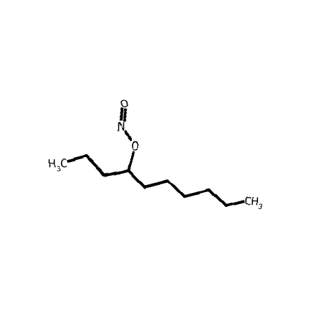 CCCCCCC(CCC)ON=O